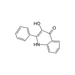 O=c1c(O)c(-c2ccccc2)[nH]c2ccccc12